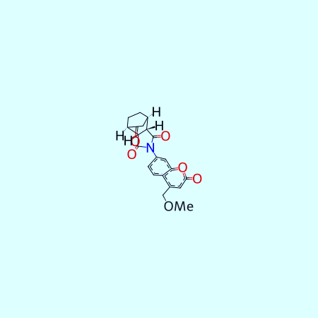 COCc1cc(=O)oc2cc(N3C(=O)[C@H]4[C@@H]5CC[C@@H](C(=O)C5)[C@H]4C3=O)ccc12